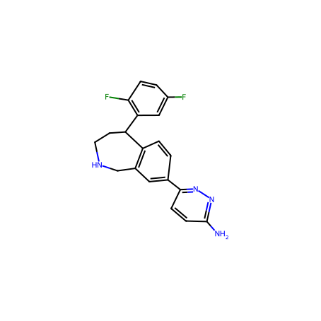 Nc1ccc(-c2ccc3c(c2)CNCCC3c2cc(F)ccc2F)nn1